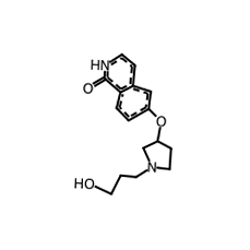 O=c1[nH]ccc2cc(OC3CCN(CCCO)C3)ccc12